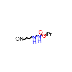 CC(C)OC(=O)NCNCCCCN=O